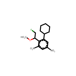 O=C(O)OC(CF)c1c(C2CCCCC2)cc([N+](=O)[O-])cc1[N+](=O)[O-]